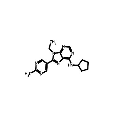 CCn1c(-c2cnc(C)nc2)nc2c(NC3CCCC3)ncnc21